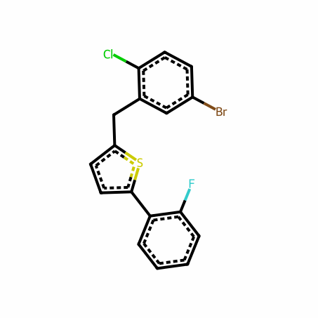 Fc1ccccc1-c1ccc(Cc2cc(Br)ccc2Cl)s1